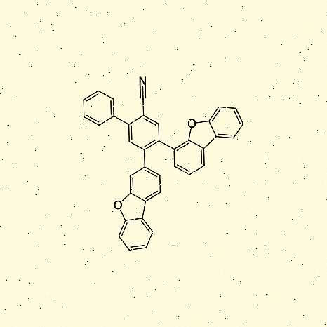 N#Cc1cc(-c2cccc3c2oc2ccccc23)c(-c2ccc3c(c2)oc2ccccc23)cc1-c1ccccc1